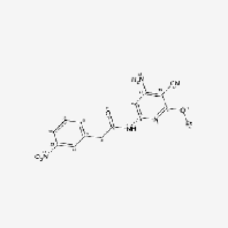 CCOc1nc(NC(=O)Cc2cccc([N+](=O)[O-])c2)cc(N)c1C#N